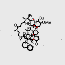 CCC(C)C(C(CC(=O)N1CCC[C@H]1C(OC)C(C)C(=O)N[C@@]1(C(=O)N2CCCCO2)C[C@@H]1c1ccccc1)OC)N(C)C(=O)C(NC(=O)C(C(C)C)N(C)CCCC(=O)N(C)CCN(C)C(=O)CCCN1C(=O)C=CC1=O)C(C)C